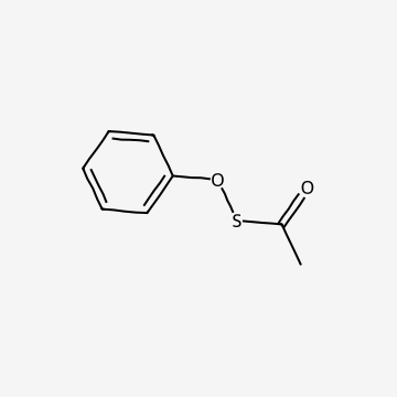 CC(=O)SOc1ccccc1